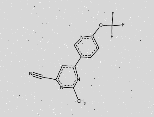 Cc1nc(C#N)cc(-c2ccc(OC(F)(F)F)nc2)n1